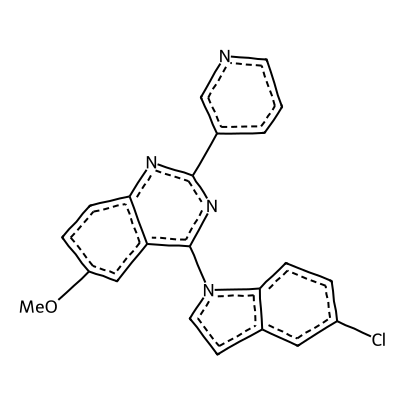 COc1ccc2nc(-c3cccnc3)nc(-n3ccc4cc(Cl)ccc43)c2c1